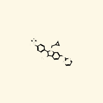 CCS(=O)(=O)Nc1ccc(C2C(C#N)c3ccc(Oc4ncccn4)cc3N2CC2CC2)cc1